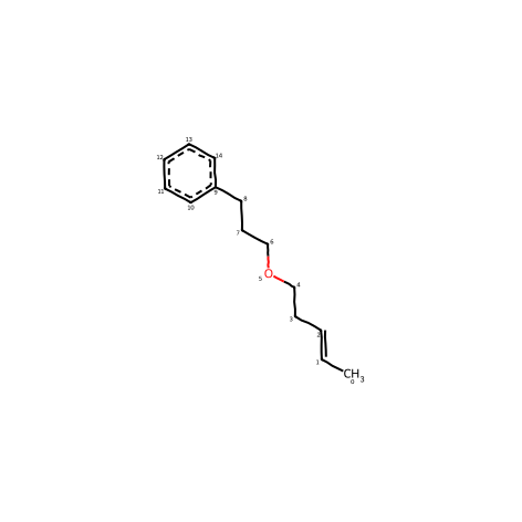 CC=CCCOCCCc1ccccc1